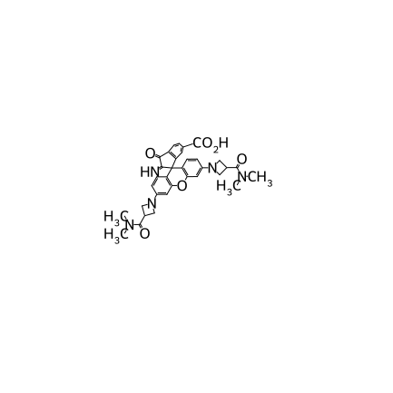 CN(C)C(=O)C1CN(c2ccc3c(c2)Oc2cc(N4CC(C(=O)N(C)C)C4)ccc2C32C(=N)C(=O)c3ccc(C(=O)O)cc32)C1